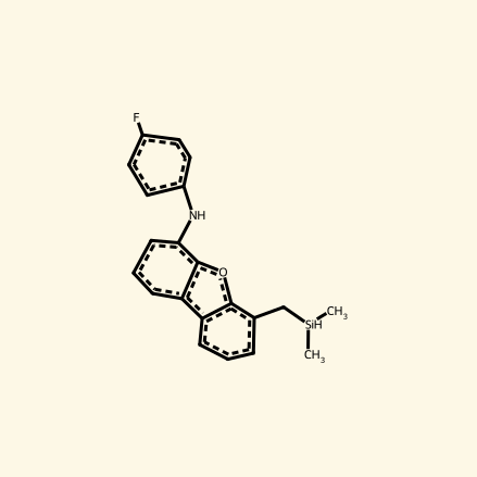 C[SiH](C)Cc1cccc2c1oc1c(Nc3ccc(F)cc3)cccc12